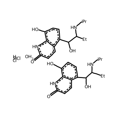 CCC(NC(C)C)C(O)c1ccc(O)c2[nH]c(=O)ccc12.CCC(NC(C)C)C(O)c1ccc(O)c2[nH]c(=O)ccc12.Cl.Cl.O